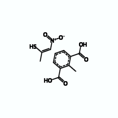 CC(S)=C[N+](=O)[O-].Cc1c(C(=O)O)cccc1C(=O)O